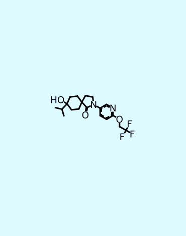 CC(C)C1(O)CCC2(CCN(c3ccc(OCC(F)(F)F)nc3)C2=O)CC1